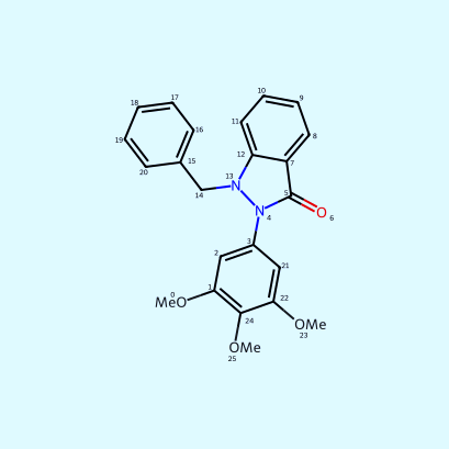 COc1cc(-n2c(=O)c3ccccc3n2Cc2ccccc2)cc(OC)c1OC